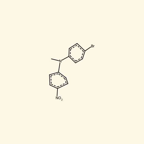 CN(c1ccc(Br)cc1)c1ccc([N+](=O)[O-])cc1